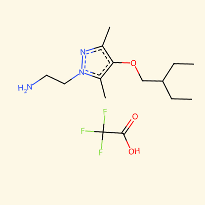 CCC(CC)COc1c(C)nn(CCN)c1C.O=C(O)C(F)(F)F